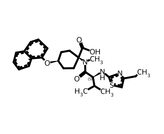 CCc1csc(N[C@H](C(=O)N(C)[C@]2(C(=O)O)CC[C@H](Oc3cccc4ccccc34)CC2)C(C)C)n1